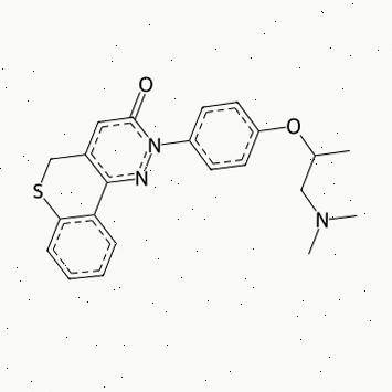 CC(CN(C)C)Oc1ccc(-n2nc3c(cc2=O)CSc2ccccc2-3)cc1